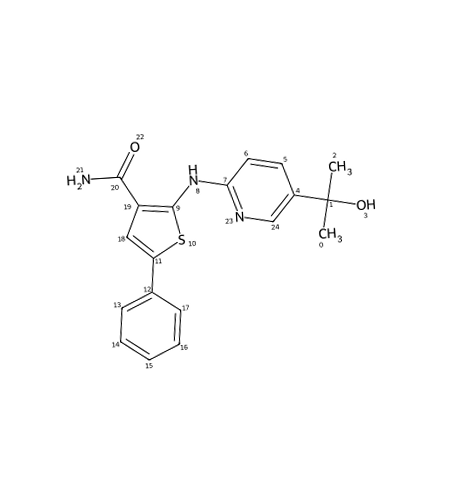 CC(C)(O)c1ccc(Nc2sc(-c3ccccc3)cc2C(N)=O)nc1